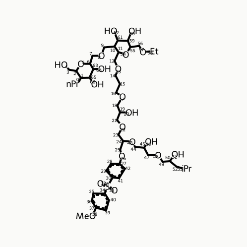 CCCC1C(CO)OC(COCC2C(COCCCOCC(O)COCC(COc3ccc(S(=O)(=O)c4ccc(OC)cc4)cc3)OCC(O)COCC(O)CC(C)C)OC(COCC)C(O)C2O)C(O)C1O